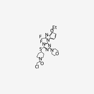 CCOc1cccc2c1nc(C(F)F)n2-c1nc(SC2CCN(C(=O)CCl)CC2)nc(N2CCOCC2)n1